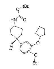 C#C[C@]1(c2ccc(OCC)c(OC3CCCC3)c2)CC[C@@H](NC(=O)OC(C)(C)C)CC1